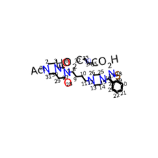 CC(=O)N1CCN2C(=O)N(CCCCN3CCN(c4nsc5ccccc45)CC3)C(=O)CC2C1.O=C(O)/C=C/C(=O)O